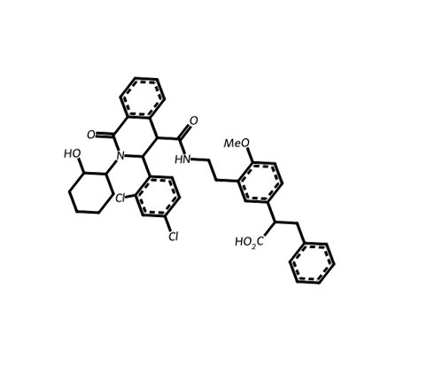 COc1ccc(C(Cc2ccccc2)C(=O)O)cc1CCNC(=O)C1c2ccccc2C(=O)N(C2CCCCC2O)C1c1ccc(Cl)cc1Cl